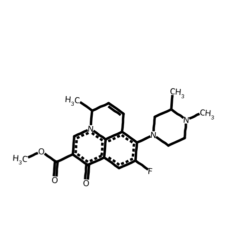 COC(=O)c1cn2c3c(c(N4CCN(C)C(C)C4)c(F)cc3c1=O)C=CC2C